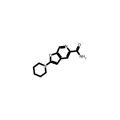 NC(=O)c1cc2cc(N3CCCCC3)oc2cn1